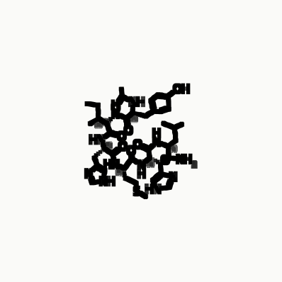 CC[C@H](C)[C@H](NC(=O)[C@H](Cc1ccc(O)cc1)NC(C)=O)C(=O)N[C@@H](Cc1c[nH]cn1)C(=O)N[C@@H](CCSC)C(=O)N[C@@H](Cc1c[nH]cn1)C(=O)N[C@@H](CC(C)C)C(N)=O